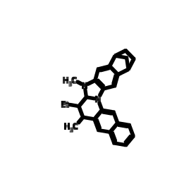 CCC1C(C)c2cc3ccccc3cc2N2c3cc4c(cc3N(C)C12)C1CCC4C1